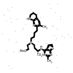 COCCN(CCCCc1nc2c(cc1C)CCCN2)CC[C@H](Nc1nc(C)nc2sccc12)C(=O)O